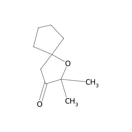 CC1(C)OC2(CCCC2)CC1=O